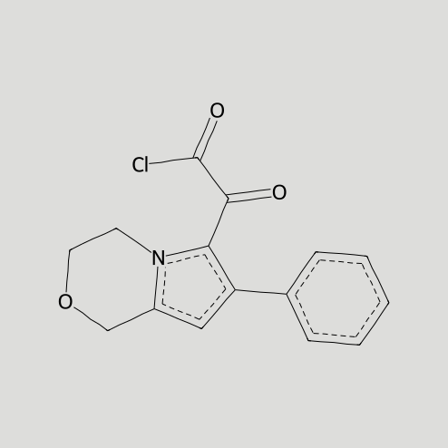 O=C(Cl)C(=O)c1c(-c2ccccc2)cc2n1CCOC2